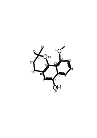 COc1cccc2c(O)cc3c(c12)OC(C)(C)CC3